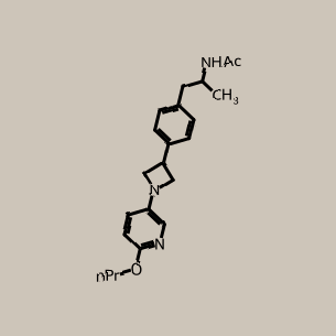 CCCOc1ccc(N2CC(c3ccc(CC(C)NC(C)=O)cc3)C2)cn1